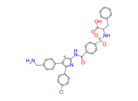 NCc1ccc(-c2sc(NC(=O)c3ccc(S(=O)(=O)NC(Cc4ccccc4)C(=O)O)cc3)nc2-c2ccc(Cl)cc2)cc1